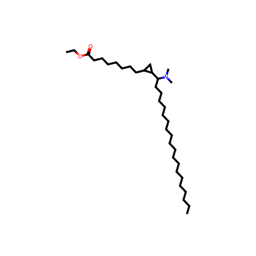 CCCCCCCCCCCCCCCCCCCC(C1CC1CCCCCCCC(=O)OCC)N(C)C